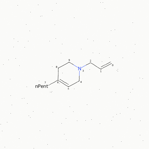 C=CCN1CC=C(CCCCC)CC1